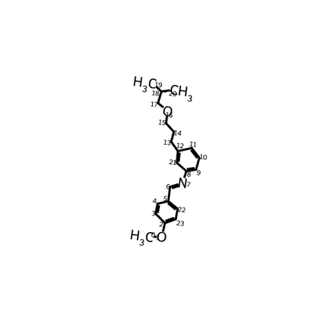 COc1ccc(C=Nc2cccc(CCCOC[C](C)C)c2)cc1